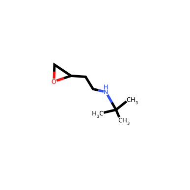 CC(C)(C)NCCC1CO1